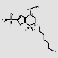 CCCN[C@H]1C[C@H](CCCSCCO)S(=O)(=O)c2sc(S(N)(=O)=O)cc21